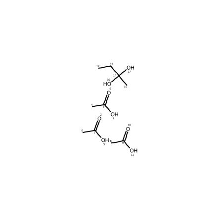 CC(=O)O.CC(=O)O.CC(=O)O.CCC(C)(O)O